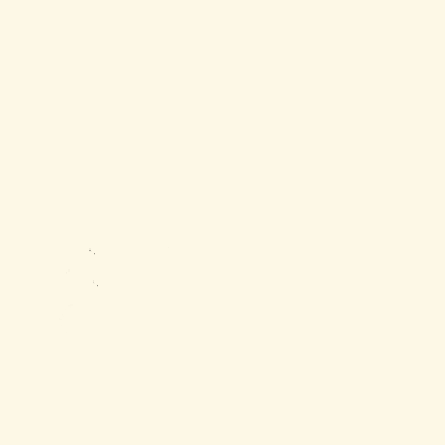 CCCCCCCCCCCCCCCCCCCCCCN(C(N)=S)c1ccc(O)cc1